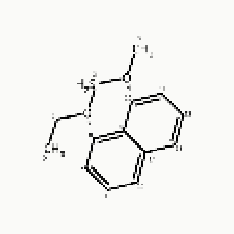 CCO[SiH2]OC.c1ccc2ccccc2c1